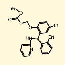 CC(C)OC(=O)OCOc1ccc(Cl)cc1C(Nc1ccccn1)c1ccccc1C#N